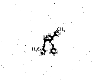 Cn1cc(-c2cc(OCc3cccnc3)c3c(C#Cc4cncn4C)cnn3c2)cn1